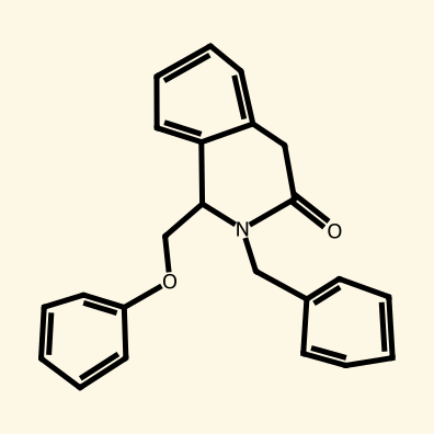 O=C1Cc2ccccc2C(COc2ccccc2)N1Cc1ccccc1